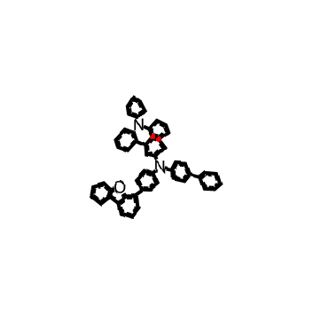 c1ccc(-c2ccc(N(c3ccc(-c4cccc5c4oc4ccccc45)cc3)c3cccc(-c4ccccc4N(c4ccccc4)c4ccccc4)c3)cc2)cc1